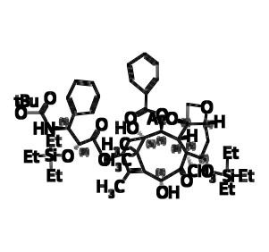 CC[Si](CC)(CC)O[C@H]1C[C@H]2OC[C@@]2(OC(C)=O)[C@H]2[C@H](OC(=O)c3ccccc3)[C@]3(O)CC(OC(=O)[C@H](O[Si](CC)(CC)CC)[C@@H](NC(=O)OC(C)(C)C)c4ccccc4)C(C)=C([C@@H](O)C(=O)[C@]12C)C3(C)C